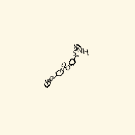 CC(Sc1ncc[nH]1)c1ccc(OC(=O)N2CCC(COn3cccn3)CC2)cc1